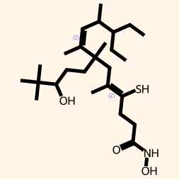 CCC(CC)C(C)/C=C(/C)C(C)(CCC(O)C(C)(C)C)C/C(C)=C(\S)CCC(=O)NO